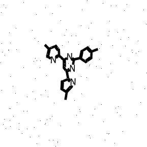 Cc1ccc(-c2nc(-c3ccc(C)cn3)cc(-c3ccc(C)cn3)n2)cc1